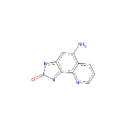 Nc1cc2c(c3ncccc13)=NC(=O)N=2